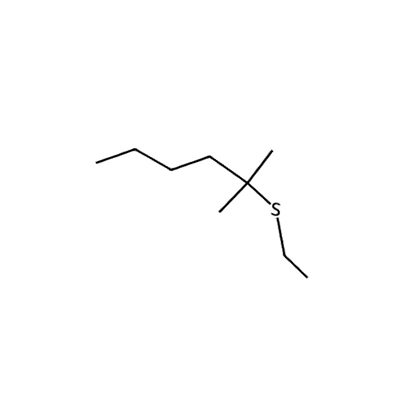 CCCCC(C)(C)SCC